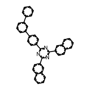 c1ccc(-c2cccc(-c3ccc(-c4nc(-c5ccc6ccccc6c5)nc(-c5ccc6ccccc6c5)n4)cc3)c2)cc1